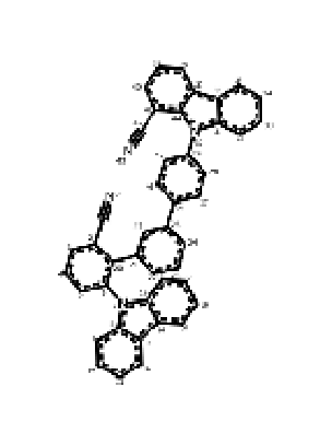 N#Cc1cccc(-n2c3ccccc3c3ccccc32)c1-c1cccc(-c2ccc(-n3c4ccccc4c4cccc(C#N)c43)cc2)c1